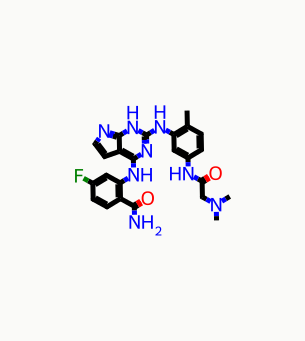 Cc1ccc(NC(=O)CN(C)C)cc1Nc1nc(Nc2cc(F)ccc2C(N)=O)c2ccnc-2[nH]1